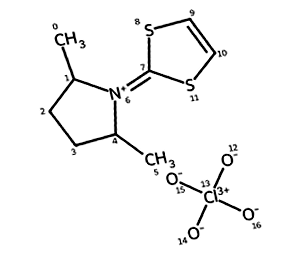 CC1CCC(C)[N+]1=c1sccs1.[O-][Cl+3]([O-])([O-])[O-]